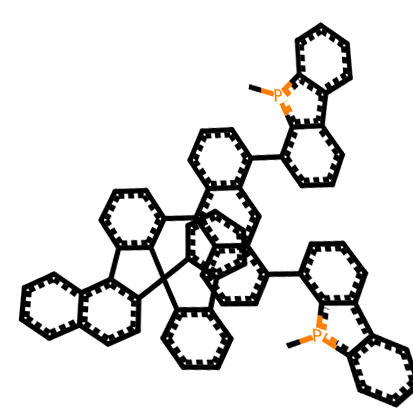 Cp1c2ccccc2c2cccc(-c3cccc4c(-c5cccc6c5C5(c7ccccc7-c7ccccc75)c5ccc7ccccc7c5-6)c5cccc(-c6cccc7c8ccccc8p(C)c67)c5cc34)c21